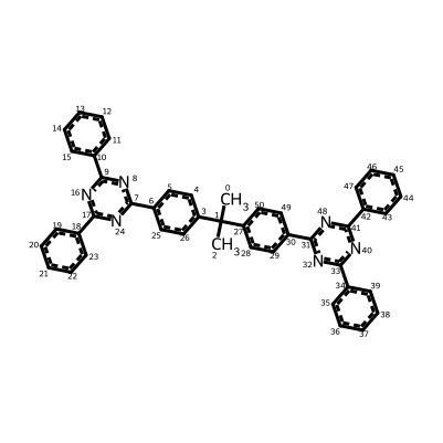 CC(C)(c1ccc(-c2nc(-c3ccccc3)nc(-c3ccccc3)n2)cc1)c1ccc(-c2nc(-c3ccccc3)nc(-c3ccccc3)n2)cc1